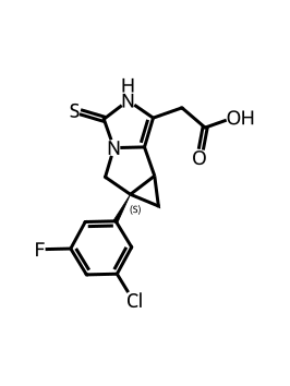 O=C(O)Cc1[nH]c(=S)n2c1C1C[C@]1(c1cc(F)cc(Cl)c1)C2